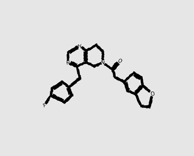 O=C(Cc1ccc2c(c1)CCO2)N1CCc2ncnc(Cc3ccc(F)cc3)c2C1